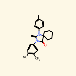 C=C1N(c2ccc(C#N)c(C(F)(F)F)c2)C(=O)C2(CCCCC2)N1c1ccc(C)cc1